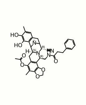 CC(=O)Oc1c(C)c2c(c3c1C[C@H]1C4c5c(cc(C)c(O)c5O)CC([C@H](C#N)N1[C@H]3CNC(=O)CCc1ccccc1)N4C)OCO2